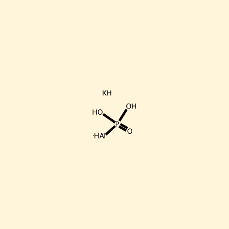 O=[P](O)(O)[AlH].[KH]